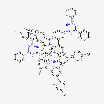 [C-]#[N+]c1ccc(-c2ccc3c(c2)c2cc(-c4ccc(C#N)cc4)ccc2n3-c2ccc(-c3nc(-c4ccccc4)nc(-c4ccccc4)n3)cc2-c2cccc(-c3cc(-c4nc(-c5ccccc5)nc(-c5ccccc5)n4)ccc3-n3c4ccc(-c5ccc(C#N)cc5)cc4c4cc(-c5ccc(C#N)cc5)ccc43)c2)cc1